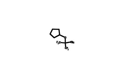 CC(C)(C)C(OC1CCCC1)(C(F)(F)F)C(F)(F)F